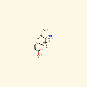 CC(C)SC1Cc2ccc(O)cc2C(C)(C)C1N